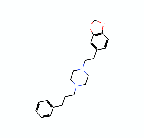 c1ccc(CCCN2CCN(CCc3ccc4c(c3)OCO4)CC2)cc1